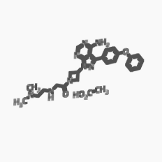 CC(=O)O.CN(C)CCNCC(=O)N1CC(n2nc(-c3ccc(Oc4ccccc4)cc3)c3c(N)ncnc32)C1